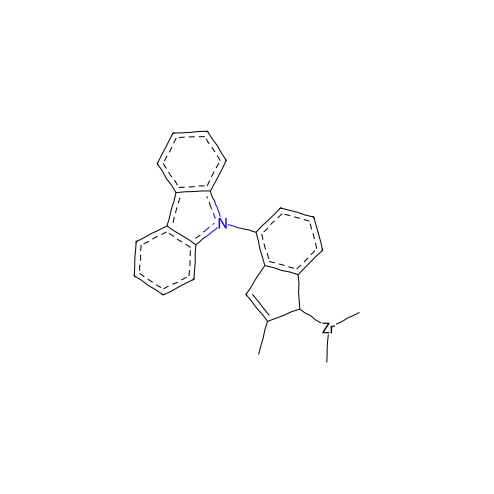 CC1=Cc2c(cccc2-n2c3ccccc3c3ccccc32)[CH]1[Zr]([CH3])[CH3]